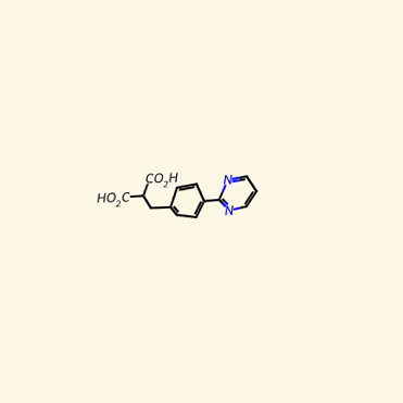 O=C(O)C(Cc1ccc(-c2ncccn2)cc1)C(=O)O